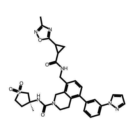 Cc1noc(C2CC2C(=O)NCc2ccc(-c3cccc(-n4cccn4)c3)c3c2CN(C(=O)N[C@@]2(C)CCS(=O)(=O)C2)CC3)n1